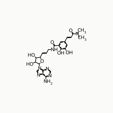 CN(C)C(=O)C=Cc1cc(O)c(O)c(C(=O)NCC=CC2OC(n3cnc4c(N)ncnc43)C(O)C2O)c1